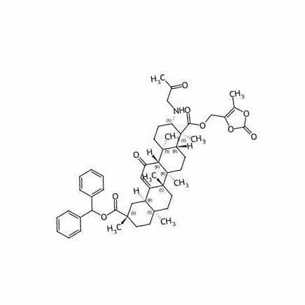 CC(=O)CN[C@H]1CC[C@@]2(C)[C@@H](CC[C@]3(C)[C@@H]2C(=O)C=C2[C@@H]4C[C@@](C)(C(=O)OC(c5ccccc5)c5ccccc5)CC[C@]4(C)CC[C@]23C)[C@]1(C)C(=O)OCc1oc(=O)oc1C